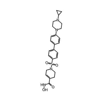 O=C(NO)C1=CCN(S(=O)(=O)c2ccc(-c3ccc(N4CCN(C5CC5)CC4)cc3)cc2)CC1